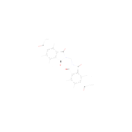 CNC(=O)c1c(C)c(C)c2c(c1C)C(=O)N(CN1C(=O)c3c(C)c(C)c(C(=O)NC)c(C)c3C1=O)C2=O